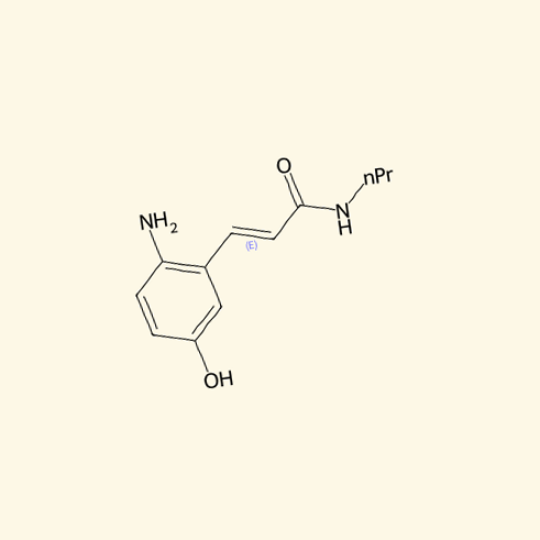 CCCNC(=O)/C=C/c1cc(O)ccc1N